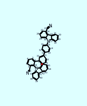 N#Cc1cccc(-c2cccc(-c3ccc(-n4c5ccccc5c5c(C#N)cccc54)cc3)c2)c1-n1c2ccccc2c2ccccc21